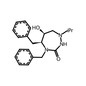 CC(C)N1C[C@H](O)[C@H](Cc2ccccc2)N(Cc2ccccc2)C(=O)N1